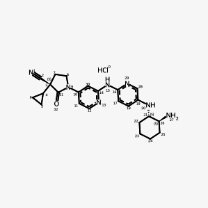 Cl.N#C[C@@]1(C2CC2)CCN(c2ccnc(Nc3ccc(N[C@H]4CCCC[C@@H]4N)cn3)c2)C1=O